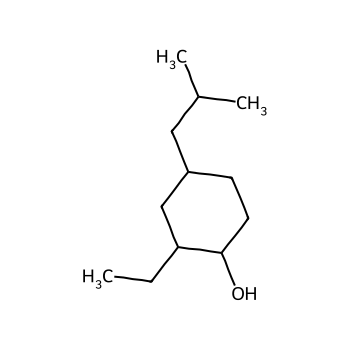 CCC1CC(CC(C)C)CCC1O